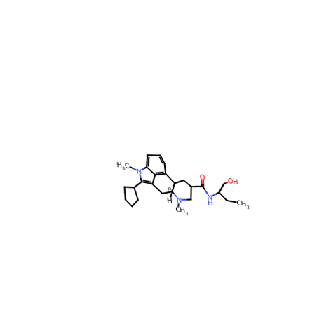 CCC(CO)NC(=O)C1CC2c3cccc4c3c(c(C3CCCC3)n4C)C[C@H]2N(C)C1